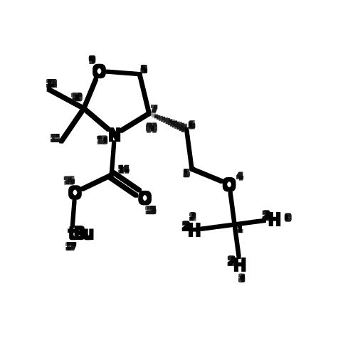 [2H]C([2H])([2H])OCC[C@H]1COC(C)(C)N1C(=O)OC(C)(C)C